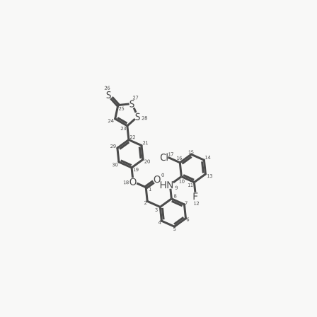 O=C(Cc1ccccc1Nc1c(F)cccc1Cl)Oc1ccc(-c2cc(=S)ss2)cc1